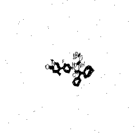 Cc1cc(=O)n(C)cc1-c1ccc(NC(=O)[C@@H](NC(=O)OC(C)(C)C)C(c2ccccc2)c2ccccc2)cc1F